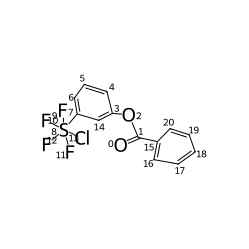 O=C(Oc1cccc(S(F)(F)(F)(F)Cl)c1)c1ccccc1